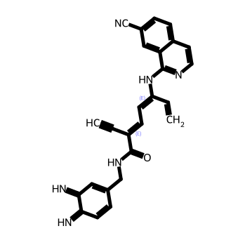 C#C/C(=C\C=C(/C=C)Nc1nccc2ccc(C#N)cc12)C(=O)NCC1=CC(=N)C(=N)C=C1